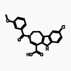 COc1cccc(C(=O)N2C=C(C(=O)O)c3[nH]c4ccc(Cl)cc4c3CC2)c1